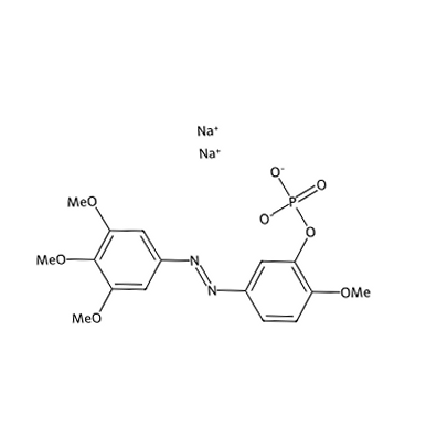 COc1ccc(/N=N/c2cc(OC)c(OC)c(OC)c2)cc1OP(=O)([O-])[O-].[Na+].[Na+]